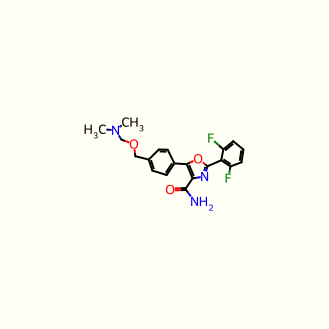 CN(C)COCc1ccc(-c2oc(-c3c(F)cccc3F)nc2C(N)=O)cc1